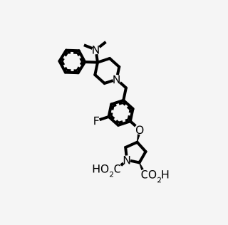 CN(C)C1(c2ccccc2)CCN(Cc2cc(F)cc(O[C@H]3C[C@@H](C(=O)O)N(C(=O)O)C3)c2)CC1